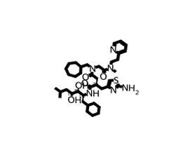 CC(C)C[C@H](O)[C@H](O)[C@H](CC1CCCCC1)NC(=O)[C@@H](CC(=O)N(CC(=O)N(C)CCc1ccccn1)CC1CCCCCC1)Cc1csc(N)n1